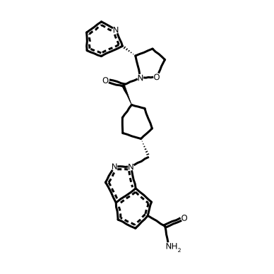 NC(=O)c1ccc2cnn(C[C@H]3CC[C@H](C(=O)N4OCC[C@H]4c4ccccn4)CC3)c2c1